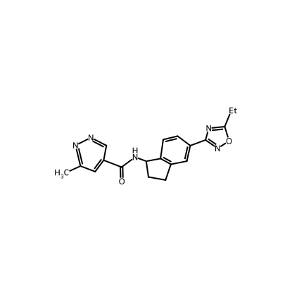 CCc1nc(-c2ccc3c(c2)CCC3NC(=O)c2cnnc(C)c2)no1